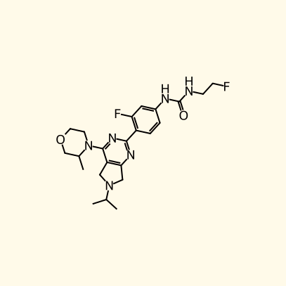 CC(C)N1Cc2nc(-c3ccc(NC(=O)NCCF)cc3F)nc(N3CCOCC3C)c2C1